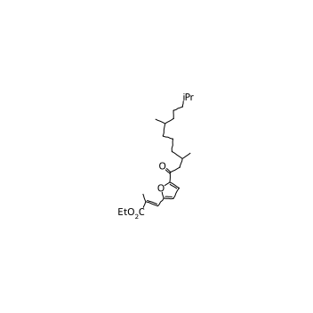 CCOC(=O)C(C)=Cc1ccc(C(=O)CC(C)CCCC(C)CCCC(C)C)o1